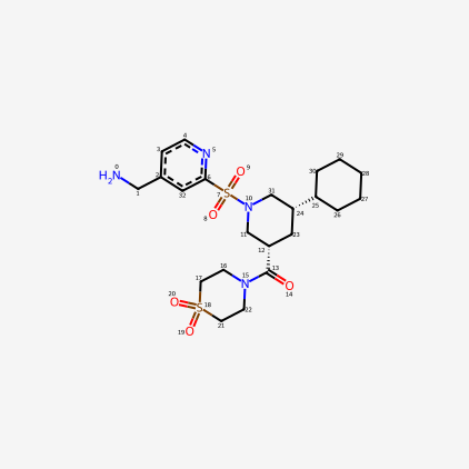 NCc1ccnc(S(=O)(=O)N2C[C@@H](C(=O)N3CCS(=O)(=O)CC3)C[C@@H](C3CCCCC3)C2)c1